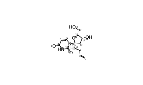 C=CCN[C@]1(n2ccc(=O)[nH]c2=O)C[C@H](O)[C@@H](CO)O1